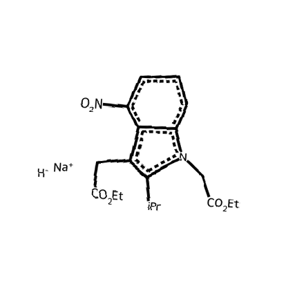 CCOC(=O)Cc1c(C(C)C)n(CC(=O)OCC)c2cccc([N+](=O)[O-])c12.[H-].[Na+]